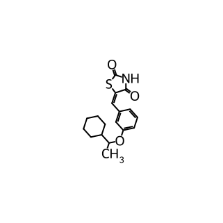 CC(Oc1cccc(C=C2SC(=O)NC2=O)c1)C1CCCCC1